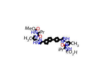 COC(=O)NC(C(=O)N1C[C@H](C)C[C@H]1c1nc(-c2ccc3cc(-c4ccc(-c5c[nH]c([C@@H]6C[C@@H](C)CN6C(=O)C(NC(=O)O)C(C)C)n5)cc4)ccc3c2)c[nH]1)C(C)C